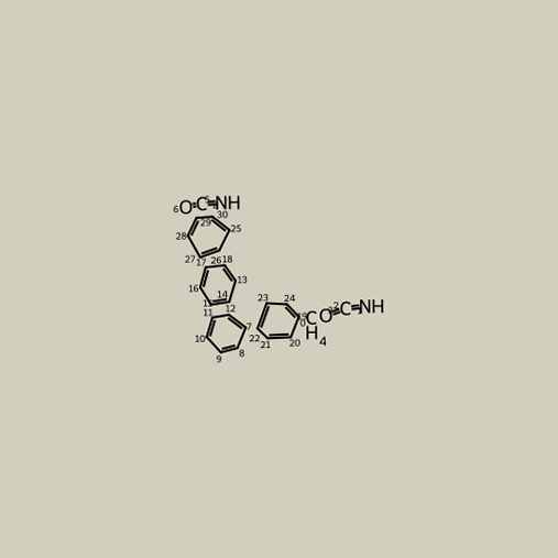 C.N=C=O.N=C=O.c1ccccc1.c1ccccc1.c1ccccc1.c1ccccc1